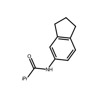 CC(C)C(=O)Nc1ccc2c(c1)CCC2